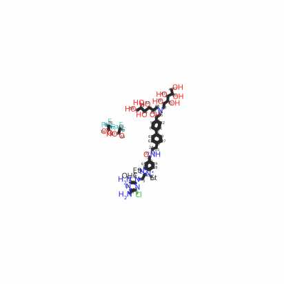 CCn1c(CN(C=O)c2nc(Cl)c(N)nc2N)[n+](CC)c2ccc(C(=O)NCCc3ccc(-c4ccc(CCN(C[C@H](O)[C@@H](O)[C@H](O)[C@H](O)CO)C[C@H](O)[C@@H](O)[C@H](O)[C@H](O)CO)cc4)cc3)cc21.O=C(O)C(F)(F)F.O=C([O-])C(F)(F)F